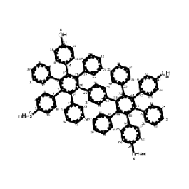 CCCCCCc1ccc(-c2c(-c3ccccc3)c(-c3ccc(O)cc3)c(-c3ccccc3)c(-c3ccc(-c4c(-c5ccccc5)c(-c5ccc(O)cc5)c(-c5ccccc5)c(-c5ccc(CCCCCC)cc5)c4-c4ccccc4)cc3)c2-c2ccccc2)cc1